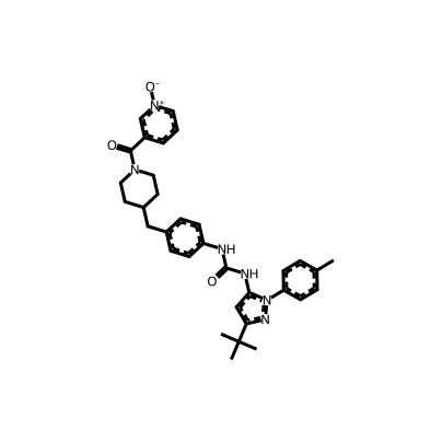 Cc1ccc(-n2nc(C(C)(C)C)cc2NC(=O)Nc2ccc(CC3CCN(C(=O)c4ccc[n+]([O-])c4)CC3)cc2)cc1